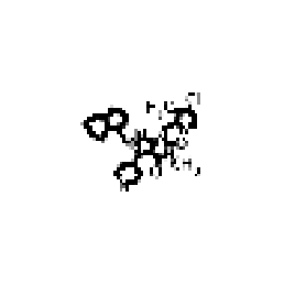 Cc1c(Cl)ccnc1Cn1c(=O)n(C)c(=O)c2c(-c3ccncc3)n(Cc3cccc4ccccc34)nc21